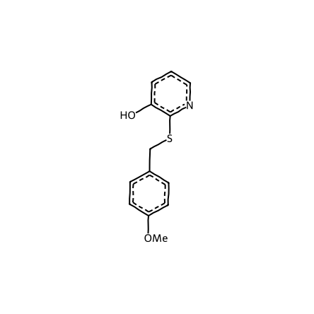 COc1ccc(CSc2ncccc2O)cc1